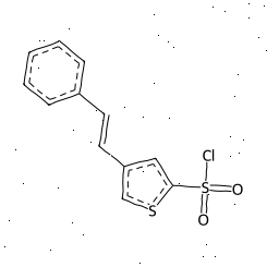 O=S(=O)(Cl)c1cc(C=Cc2ccccc2)cs1